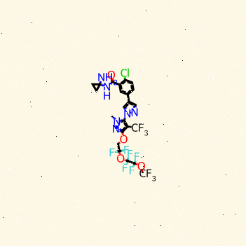 Cn1nc(OCC(F)(F)OC(F)(F)C(F)(F)OC(F)(F)F)c(C(F)(F)F)c1-n1cc(-c2ccc(Cl)c(C(=O)NC3(N)CC3)c2)cn1